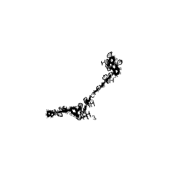 CN(CCNC(=O)CCOCCOCCNC(=O)COc1cccc2c1C(=O)N(C1CCC(=O)NC1=O)C2=O)C(=O)c1ccc(-c2cc(C(=O)N[C@@H]3CCc4ccccc43)no2)cc1O